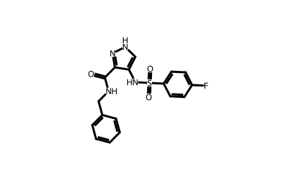 O=C(NCc1ccccc1)c1n[nH]cc1NS(=O)(=O)c1ccc(F)cc1